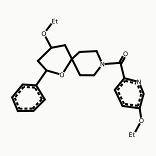 CCOc1ccc(C(=O)N2CCC3(CC2)CC(OCC)CC(c2ccccc2)O3)nc1